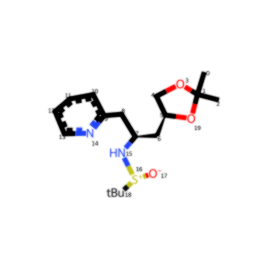 CC1(C)OC[C@H](C[C@H](Cc2ccccn2)N[S+]([O-])C(C)(C)C)O1